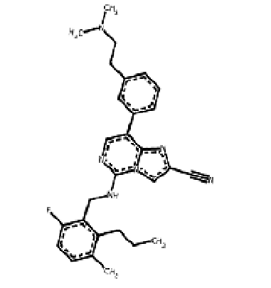 CCCc1c(C)ccc(F)c1CNc1ncc(-c2cccc(CCN(C)C)c2)c2nc(C#N)cn12